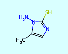 Cc1cnc(S)n1N